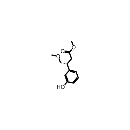 COC[C@H](CC(=O)OC)c1cccc(O)c1